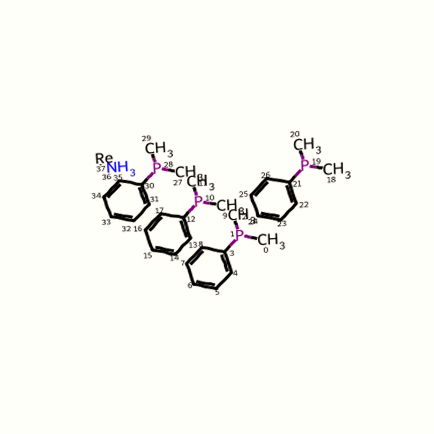 CP(C)c1ccccc1.CP(C)c1ccccc1.CP(C)c1ccccc1.CP(C)c1ccccc1.N.[Re]